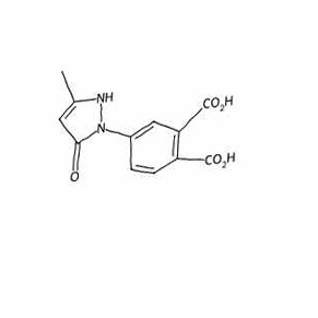 Cc1cc(=O)n(-c2ccc(C(=O)O)c(C(=O)O)c2)[nH]1